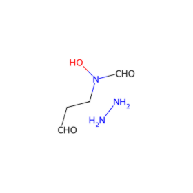 NN.O=CCCN(O)C=O